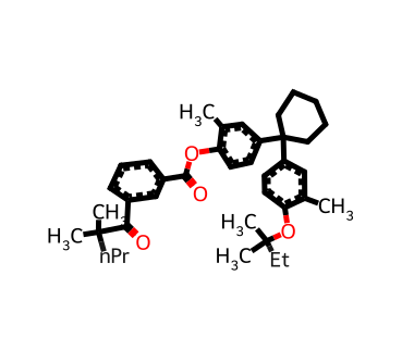 CCCC(C)(C)C(=O)c1cccc(C(=O)Oc2ccc(C3(c4ccc(OC(C)(C)CC)c(C)c4)CCCCC3)cc2C)c1